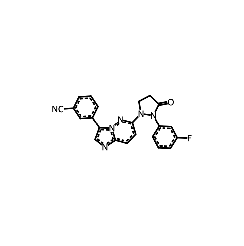 N#Cc1cccc(-c2cnc3ccc(N4CCC(=O)N4c4cccc(F)c4)nn23)c1